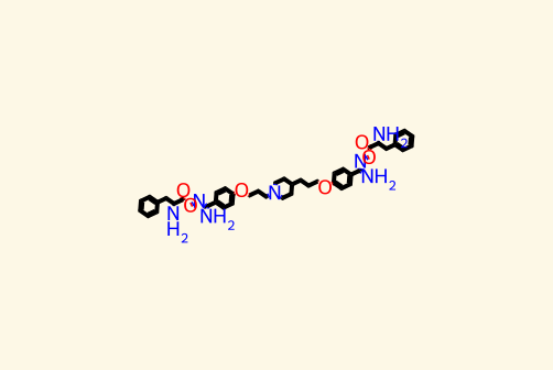 N/C(=N\OC(=O)[C@@H](N)Cc1ccccc1)c1ccc(OCCCC2CCN(CCCOc3ccc(/C(N)=N/OC(=O)[C@@H](N)Cc4ccccc4)cc3)CC2)cc1